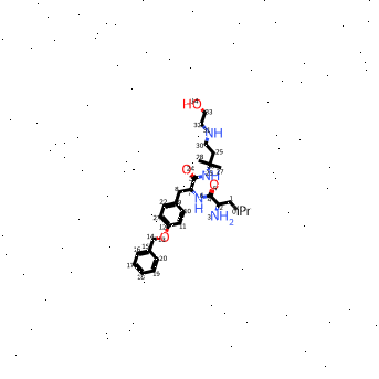 CC(C)CC(N)C(=O)NC(Cc1ccc(OCc2ccccc2)cc1)C(=O)NC(C)(C)CCNCCO